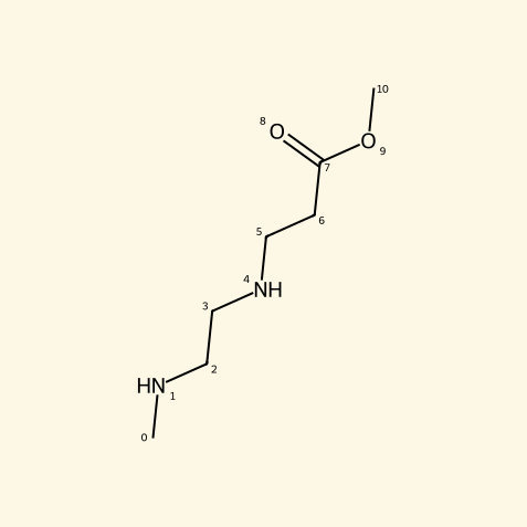 CNCCNCCC(=O)OC